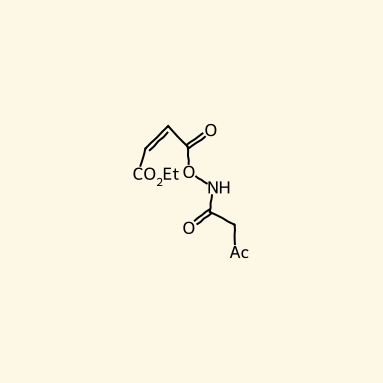 CCOC(=O)/C=C\C(=O)ONC(=O)CC(C)=O